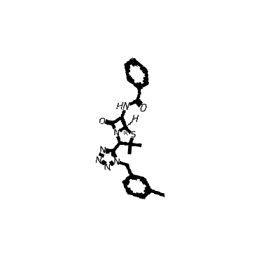 Cc1cccc(Cn2nnnc2C2N3C(=O)C(NC(=O)c4ccccc4)[C@H]3SC2(C)C)c1